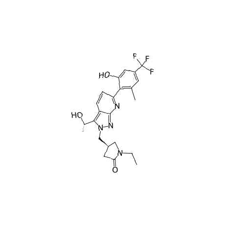 CCN1C[C@H](Cn2nc3nc(-c4c(C)cc(C(F)(F)F)cc4O)ccc3c2[C@H](C)O)CC1=O